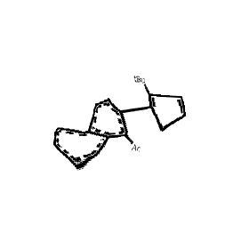 CC(=O)c1c(C2=C(C(C)(C)C)C=CC2)ccc2ccccc12